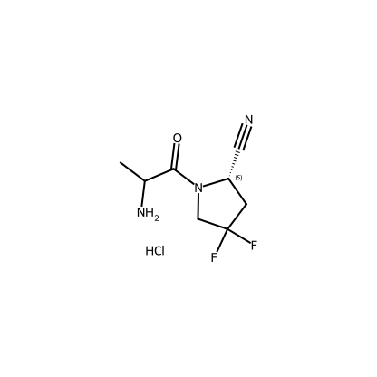 CC(N)C(=O)N1CC(F)(F)C[C@H]1C#N.Cl